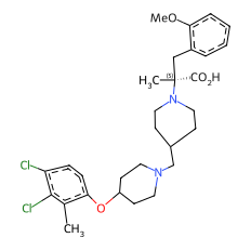 COc1ccccc1C[C@@](C)(C(=O)O)N1CCC(CN2CCC(Oc3ccc(Cl)c(Cl)c3C)CC2)CC1